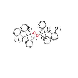 Cc1ccccc1[SiH2]C(c1ccccc1)(c1ccccc1)C(C)(C)OOC(C)(C)C([SiH2]c1ccccc1C)(c1ccccc1)c1ccccc1